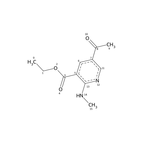 CCOC(=O)c1cc(C(C)=O)cnc1NC